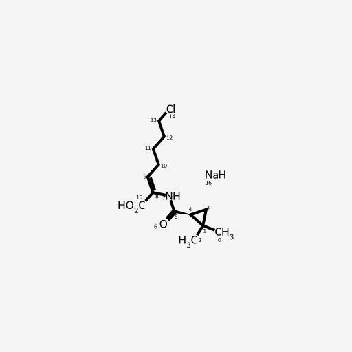 CC1(C)C[C@@H]1C(=O)N/C(=C\CCCCCl)C(=O)O.[NaH]